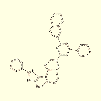 c1ccc(-c2nc(-c3ccc4ccccc4c3)nc(-c3ccc4c(ccc5ccc6nn(-c7ccccc7)nc6c54)c3)n2)cc1